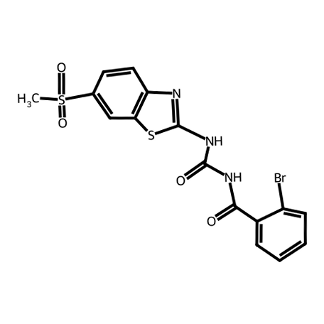 CS(=O)(=O)c1ccc2nc(NC(=O)NC(=O)c3ccccc3Br)sc2c1